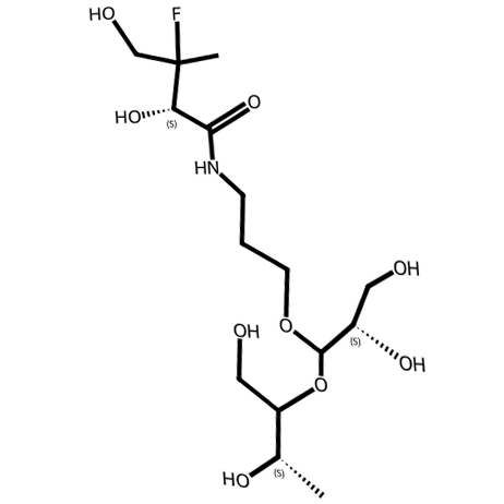 C[C@H](O)C(CO)OC(OCCCNC(=O)[C@H](O)C(C)(F)CO)[C@@H](O)CO